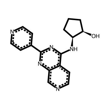 O[C@@H]1CCC[C@@H]1Nc1nc(-c2ccncc2)nc2cnccc12